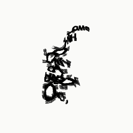 COCCNCc1ccc2c(c1)CCCC2NC(=O)CC(NS(=O)(=O)c1cccc(C(F)(F)F)c1)c1cccc(F)c1